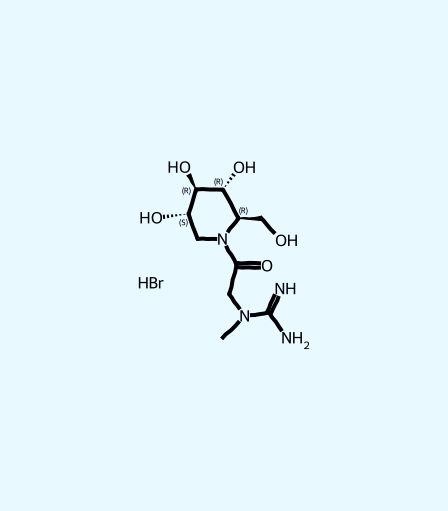 Br.CN(CC(=O)N1C[C@H](O)[C@@H](O)[C@H](O)[C@H]1CO)C(=N)N